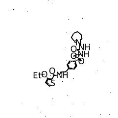 CCOc1ccsc1C(=O)NCCc1ccc(S(=O)(=O)NC(=O)NN2CCCCCC2)cc1